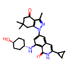 Cc1nn(-c2cc(N[C@H]3CC[C@H](O)CC3)c3c(=O)[nH]c(C4CC4)cc3c2)c2c1C(=O)CC(C)(C)C2